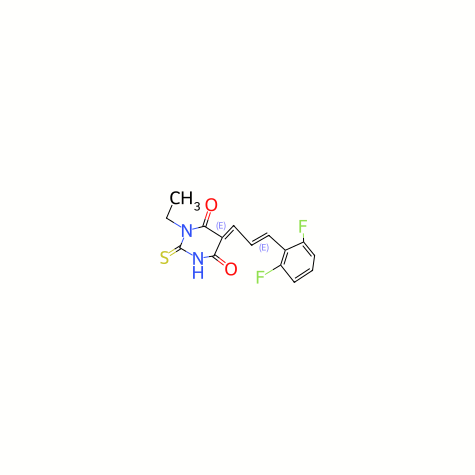 CCN1C(=O)/C(=C/C=C/c2c(F)cccc2F)C(=O)NC1=S